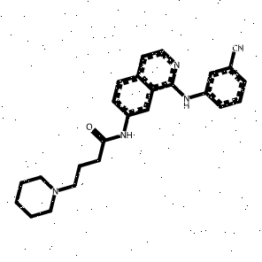 N#Cc1cccc(Nc2nccc3ccc(NC(=O)CCCN4CCCCC4)cc23)c1